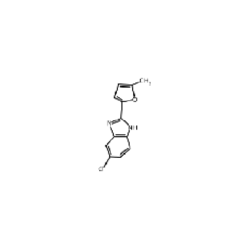 Cc1ccc(-c2nc3cc(Cl)ccc3[nH]2)o1